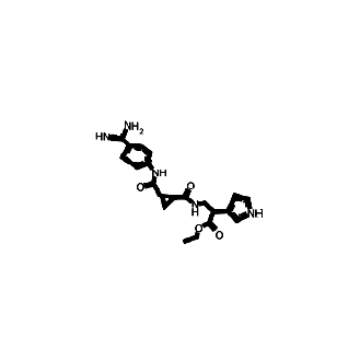 CCOC(=O)C(CNC(=O)C1CC1C(=O)Nc1ccc(C(=N)N)cc1)c1cc[nH]c1